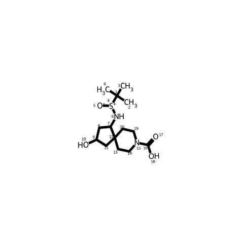 CC(C)(C)[S+]([O-])NC1CC(O)CC12CCN(C(=O)O)CC2